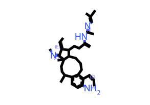 C=C(CCC1C(=C\C)/C(=N\C)C2(C)CCC(C)c3ccc(N)c(/C=C\C)c3CCCC12)N/C(C)=N/C=C(C)C